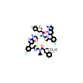 CN(C(=O)[C@@H](CC(=O)O)CC1CCCC1)c1nc(-c2cc(F)ccc2-c2cnc3c(ccn3C)c2)cs1.CN1CCOc2cc(-c3ccc(F)cc3-c3csc(N(C(=O)[C@@H](CC(=O)O)Cc4ccccc4)C4CC4)n3)cnc21